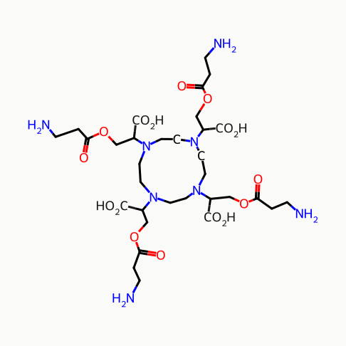 NCCC(=O)OCC(C(=O)O)N1CCN(C(COC(=O)CCN)C(=O)O)CCN(C(COC(=O)CCN)C(=O)O)CCN(C(COC(=O)CCN)C(=O)O)CC1